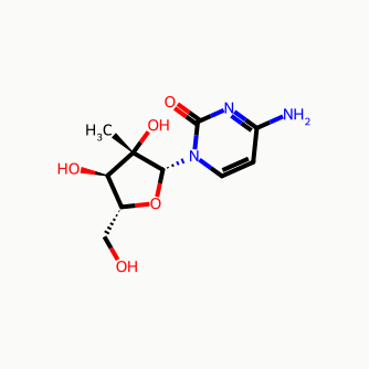 C[C@]1(O)[C@H](O)[C@@H](CO)O[C@H]1n1ccc(N)nc1=O